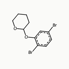 Brc1ccc(Br)c(OC2CCCCO2)c1